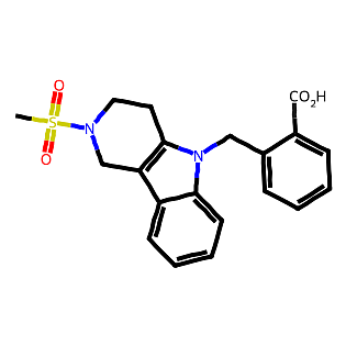 CS(=O)(=O)N1CCc2c(c3ccccc3n2Cc2ccccc2C(=O)O)C1